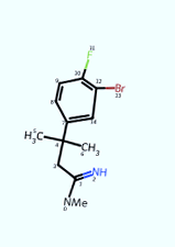 CNC(=N)CC(C)(C)c1ccc(F)c(Br)c1